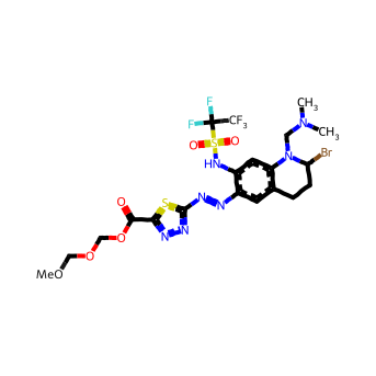 COCOCOC(=O)c1nnc(N=Nc2cc3c(cc2NS(=O)(=O)C(F)(F)C(F)(F)F)N(CN(C)C)C(Br)CC3)s1